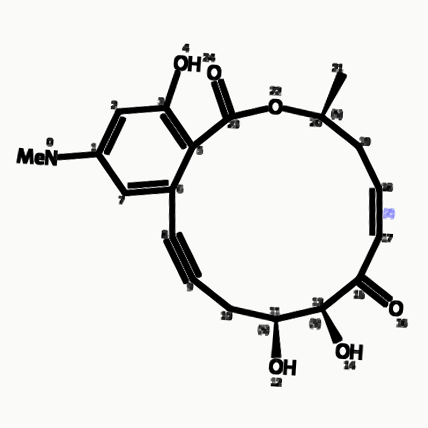 CNc1cc(O)c2c(c1)C#CC[C@H](O)[C@H](O)C(=O)/C=C\C[C@H](C)OC2=O